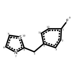 Fc1ccc(Cc2n[c]cs2)cc1